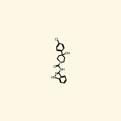 O=C(Nc1n[nH]c2ccccc12)N1CCC(O)(c2ccc(Cl)cc2)CC1